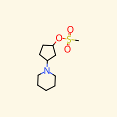 CS(=O)(=O)OC1CCC(N2CCCCC2)C1